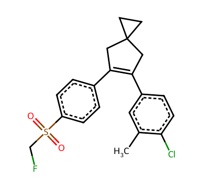 Cc1cc(C2=C(c3ccc(S(=O)(=O)CF)cc3)CC3(CC3)C2)ccc1Cl